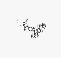 Cc1nonc1C(=O)N[C@H](c1nc2cc([C@@H](COC3CC3)NC(=O)CC3CC(F)(F)C3)ccc2[nH]1)[C@@H](C)OC(C)(C)C(F)(F)F